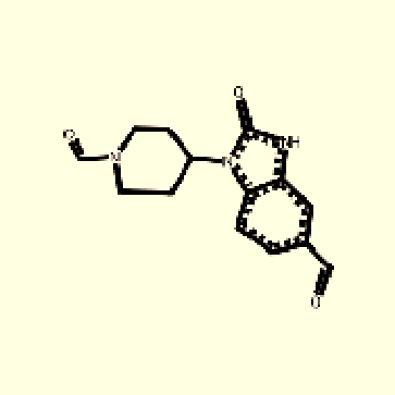 O=Cc1ccc2c(c1)[nH]c(=O)n2C1CCN(C=O)CC1